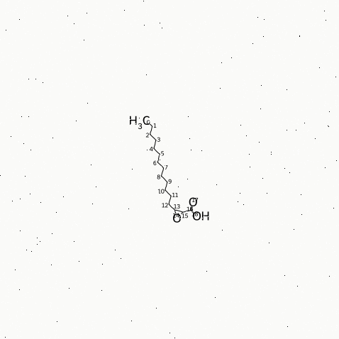 CCCCCCCCCCCCCC1OC1C(=O)O